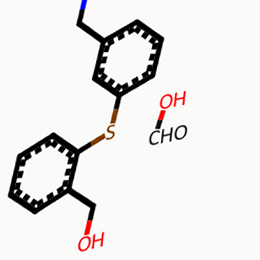 NCc1cccc(Sc2ccccc2CO)c1.O=CO